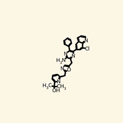 CC(C)(O)c1cccc(Cc2ncc(Cc3nc(-c4cc(Cl)c5ncccc5c4)c(-c4ccccc4)nc3N)o2)n1